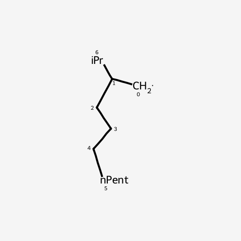 [CH2]C(CCCCCCCC)C(C)C